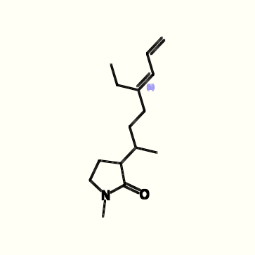 C=C/C=C(\CC)CCC(C)C1CCN(C)C1=O